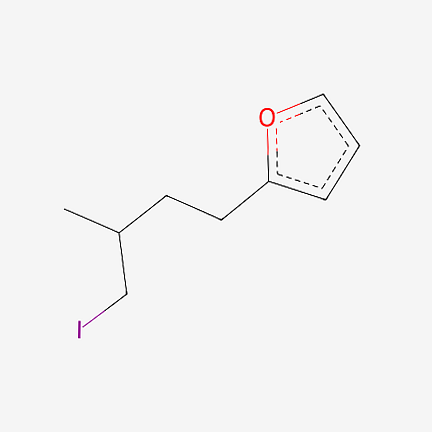 CC(CI)CCc1ccco1